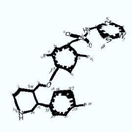 O=S(=O)(Nc1ncns1)c1cc(F)c(OCC2CCNCC2c2ccc(F)cc2)cc1F